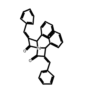 O=[C]1C(=Cc2ccccc2)[CH](c2ccccc2)[Pd]12[C](=O)C(=Cc1ccccc1)[CH]2c1ccccc1